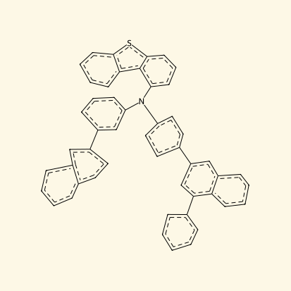 c1ccc(-c2cc(-c3ccc(N(c4cccc(-c5ccc6ccccc6c5)c4)c4cccc5sc6ccccc6c45)cc3)cc3ccccc23)cc1